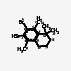 Cc1c(S)c(Br)c(C)c2c1CCCC2(C)C